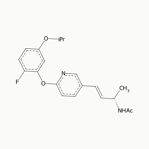 CC(=O)N[C@@H](C)/C=C/c1ccc(Oc2cc(OC(C)C)ccc2F)nc1